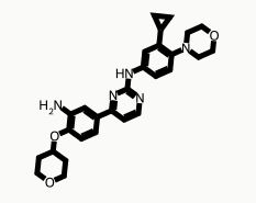 Nc1cc(-c2ccnc(Nc3ccc(N4CCOCC4)c(C4CC4)c3)n2)ccc1OC1CCOCC1